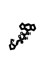 CC(C)N1CCC[C@@H]1/C=C/S(=O)(=O)NC(=O)Nc1c2c(cc3c1CCC3)CCC2